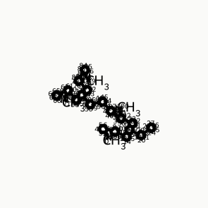 Cn1c2ccccc2c2ccc(-c3cccc4c(-c5cccc(-c6ccccc6)c5)c5cccc(-c6ccc7c8ccc(-c9cccc(-c%10cccc(-c%11c%12cccc(-c%13cccc%14c%15ccccc%15n(C)c%13%14)c%12cc%12c(-c%13cccc%14c%15ccccc%15n(C)c%13%14)cccc%11%12)c%10)c9)cc8n(C)c7c6)c5cc34)cc21